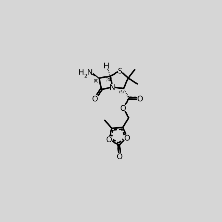 Cc1oc(=O)oc1COC(=O)[C@@H]1N2C(=O)[C@@H](N)[C@H]2SC1(C)C